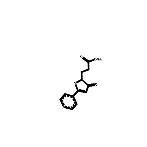 COC(=O)CCC1SC(c2ccncc2)=CC1=O